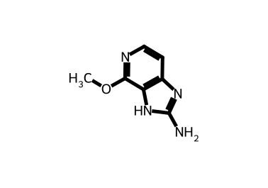 COc1nccc2nc(N)[nH]c12